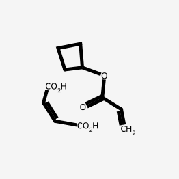 C=CC(=O)OC1CCC1.O=C(O)/C=C\C(=O)O